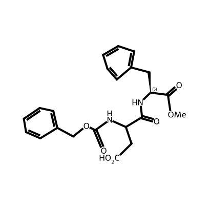 COC(=O)[C@H](Cc1ccccc1)NC(=O)C(CC(=O)O)NC(=O)OCc1ccccc1